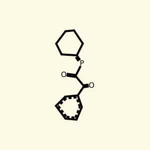 O=C(P=C1CCCCC1)C(=O)c1ccccc1